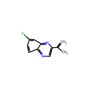 C=C(C)c1cnc2ccc(F)cc2n1